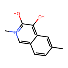 Cc1ccc2c[n+](C)c(O)c(O)c2c1